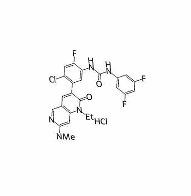 CCn1c(=O)c(-c2cc(NC(=O)Nc3cc(F)cc(F)c3)c(F)cc2Cl)cc2cnc(NC)cc21.Cl